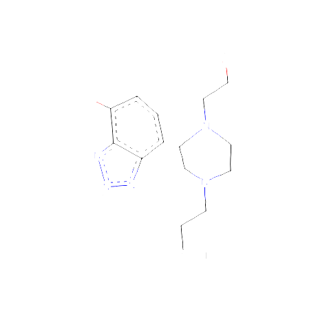 O=S(=O)(O)CCN1CCN(CCO)CC1.Oc1cccc2[nH]nnc12